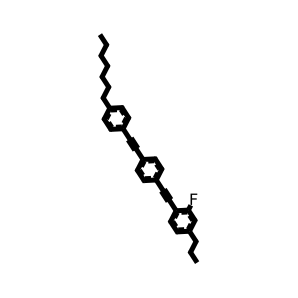 CCCCCCCc1ccc(C#Cc2ccc(C#Cc3ccc(CCC)cc3F)cc2)cc1